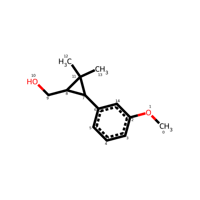 COc1cccc(C2C(CO)C2(C)C)c1